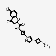 O=C1C[C@H](C(=O)NC23CC(n4cc([C@H]5C[C@@H](OC(F)(F)F)C5)cn4)(C2)C3)Oc2ccc(Cl)cc21